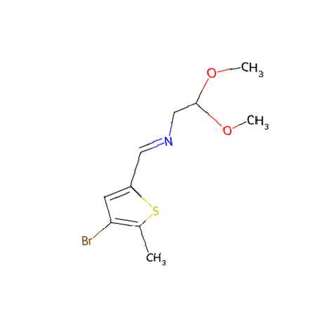 COC(CN=Cc1cc(Br)c(C)s1)OC